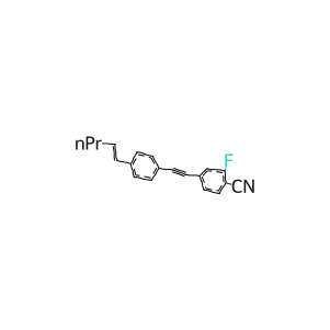 CCCC=Cc1ccc(C#Cc2ccc(C#N)c(F)c2)cc1